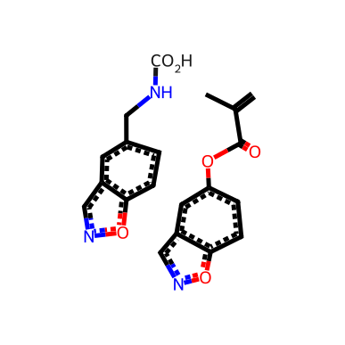 C=C(C)C(=O)Oc1ccc2oncc2c1.O=C(O)NCc1ccc2oncc2c1